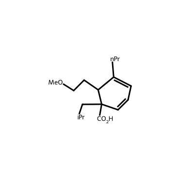 CCCC1=CC=CC(CC(C)C)(C(=O)O)C1CCOC